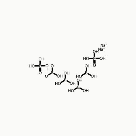 O=P(O)(O)O.O=P(O)(O)O.OB(O)O.OB(O)O.OB(O)O.[Na+].[Na+].[O-]B([O-])O